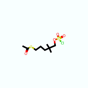 CC(=O)SCCCC(C)(C)COS(=O)(=O)Cl